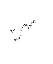 [CH2]CNOC(C)CCCC